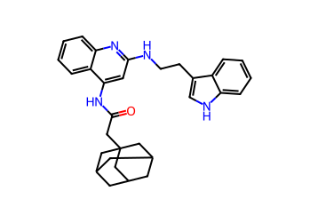 O=C(CC12CC3CC(CC(C3)C1)C2)Nc1cc(NCCc2c[nH]c3ccccc23)nc2ccccc12